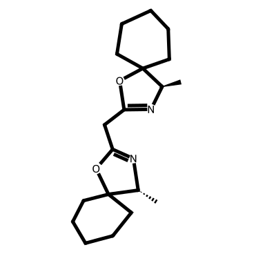 C[C@H]1N=C(CC2=N[C@H](C)C3(CCCCC3)O2)OC12CCCCC2